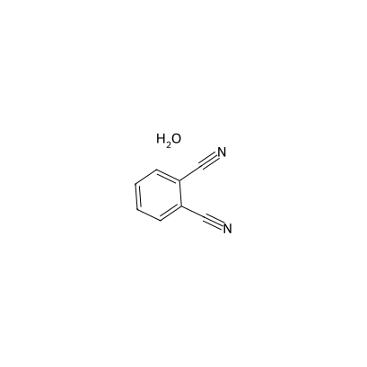 N#Cc1ccccc1C#N.O